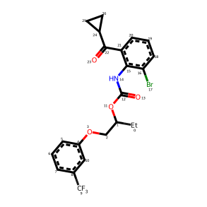 CCC(COc1cccc(C(F)(F)F)c1)OC(=O)Nc1c(Br)cccc1C(=O)C1CC1